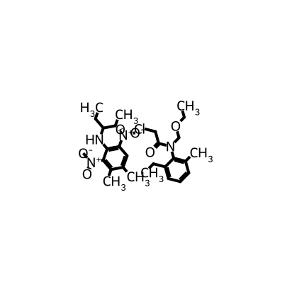 CCC(CC)Nc1c([N+](=O)[O-])cc(C)c(C)c1[N+](=O)[O-].CCOCN(C(=O)CCl)c1c(C)cccc1CC